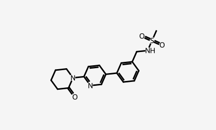 CS(=O)(=O)NCc1cccc(-c2ccc(N3CCCCC3=O)nc2)c1